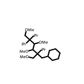 COCC(CC1CCCCC1)(C(C)C)C(OC)C(OC)C(COC)(C(C)C)C(C)C